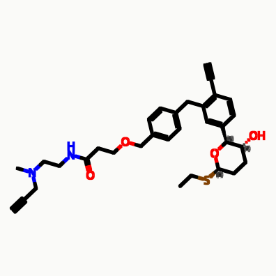 C#CCN(C)CCNC(=O)CCOCc1ccc(Cc2cc([C@@H]3O[C@H](SCC)CC[C@H]3O)ccc2C#C)cc1